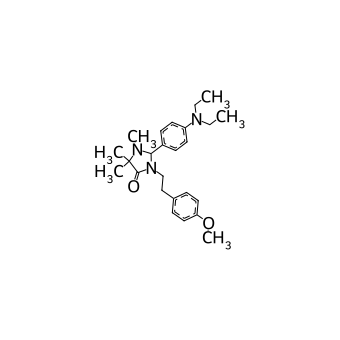 CCN(CC)c1ccc(C2N(CCc3ccc(OC)cc3)C(=O)C(C)(C)N2C)cc1